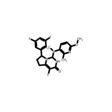 COc1ccc(N(C)C2NC(=O)C(F)=C3CCC(c4cc(F)cc(F)c4)N32)c(C)n1